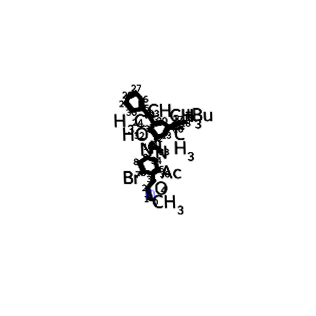 C/C=C\C(=O)c1c(Br)cc2nn(-c3cc(C(C)(C)CC(C)(C)C)cc(C(C)(C)c4ccccc4)c3O)nc2c1C(C)=O